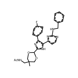 CC(=O)NCC1(C)COC(c2nc(-c3ccc(F)cc3)c(-c3ccnc(NCc4ccccc4)n3)[nH]2)OC1